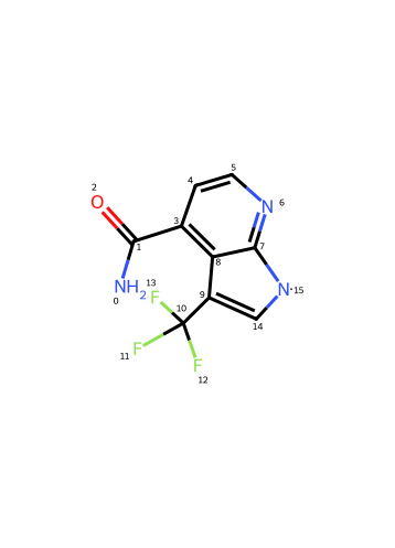 NC(=O)c1ccnc2c1C(C(F)(F)F)=C[N]2